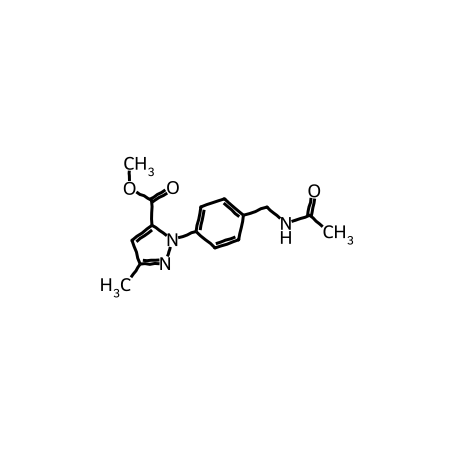 COC(=O)c1cc(C)nn1-c1ccc(CNC(C)=O)cc1